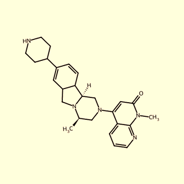 C[C@@H]1CN(c2cc(=O)n(C)c3ncccc23)C[C@@H]2C3C=CC(C4CCNCC4)=CC3CN12